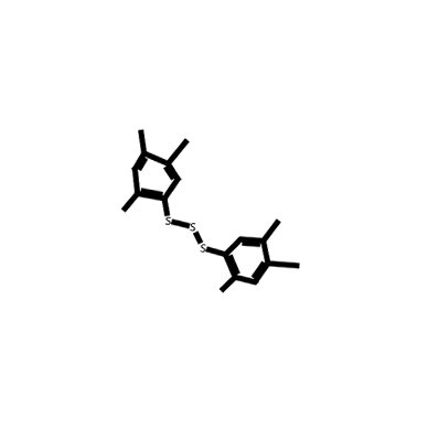 Cc1[c]c(C)c(SSSc2[c]c(C)c(C)[c]c2C)[c]c1C